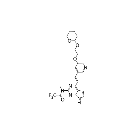 CN(C(=O)C(F)(F)F)c1nc(C=Cc2cncc(OCCOC3CCCCO3)c2)c2cc[nH]c2n1